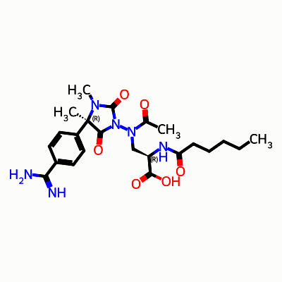 CCCCCC(=O)N[C@H](CN(C(C)=O)N1C(=O)N(C)[C@](C)(c2ccc(C(=N)N)cc2)C1=O)C(=O)O